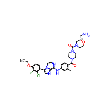 Cc1cc(Nc2nccn3c(-c4ccc(OCC#N)c(F)c4Cl)cnc23)ccc1C(=O)N1CCN(C(=O)N2CCO[C@@H](CN)C2)CC1